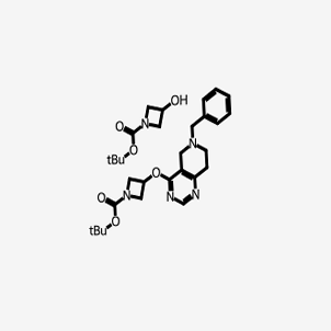 CC(C)(C)OC(=O)N1CC(O)C1.CC(C)(C)OC(=O)N1CC(Oc2ncnc3c2CN(Cc2ccccc2)CC3)C1